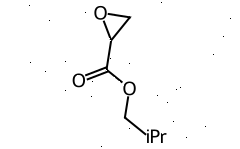 CC(C)COC(=O)C1CO1